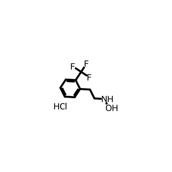 Cl.ONCCc1ccccc1C(F)(F)F